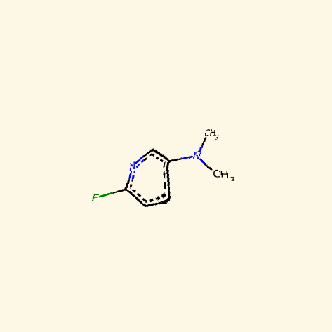 CN(C)c1ccc(F)nc1